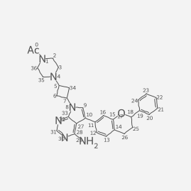 CC(=O)N1CCN(C2CC(n3cc(-c4ccc5c(c4)OC(c4ccccc4)CC5)c4c(N)ncnc43)C2)CC1